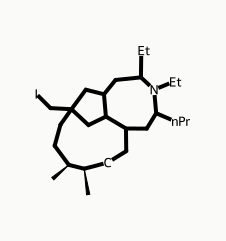 CCCC1CC2CC[C@@H](C)[C@@H](C)CCC3(CI)CC(CC(CC)N1CC)C2C3